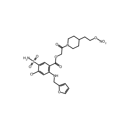 NS(=O)(=O)c1cc(C(=O)OCC(=O)N2CCC(CCO[N+](=O)[O-])CC2)c(NCc2ccco2)cc1Cl